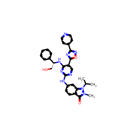 CC(C)n1c2cc(Nc3ncc(-c4nc(-c5ccncc5)no4)c(N[C@H](CO)c4ccccc4)n3)ccc2c(=O)n1C